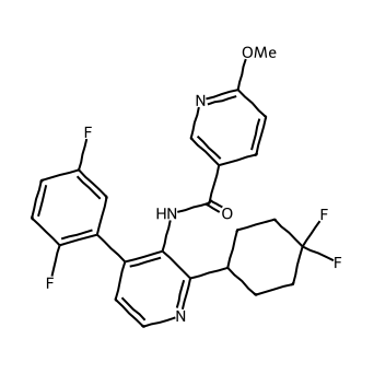 COc1ccc(C(=O)Nc2c(-c3cc(F)ccc3F)ccnc2C2CCC(F)(F)CC2)cn1